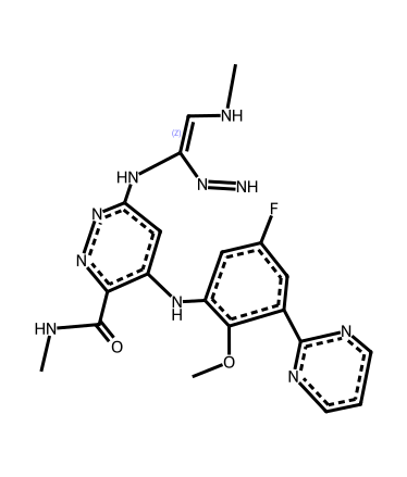 CN/C=C(\N=N)Nc1cc(Nc2cc(F)cc(-c3ncccn3)c2OC)c(C(=O)NC)nn1